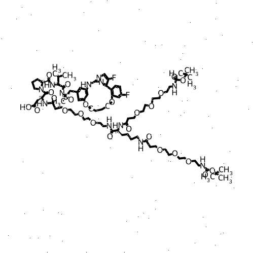 CC(C)[C@H](NC(=O)[C@@H]1CCCN1C(=O)[C@H](CC(=O)O)NC(=O)CCOCCOCCOCCNC(=O)[C@H](CCCCNC(=O)CCOCCOCCOCCNC(=O)OC(C)(C)C)NC(=O)CCOCCOCCOCCNC(=O)OC(C)(C)C)C(=O)N=[S@@](C)(=O)Cc1cc2cc(c1)OCCCCOc1cc(F)ccc1-c1nc(ncc1F)N2